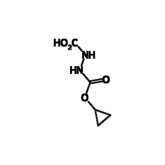 O=C(O)NNC(=O)OC1CC1